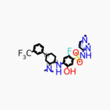 C=N/C=C\C(=N/C)NS(=O)(=O)c1cc(O)c(N[C@H]2CC[C@H](c3cccc(C(F)(F)F)c3)C[C@@H]2N(C)C)cc1F